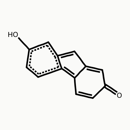 O=C1C=CC2=c3ccc(O)cc3=CC2=C1